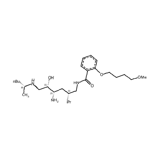 CCCC[C@@H](C)NC[C@H](O)[C@@H](N)C[C@H](CNC(=O)c1ccccc1OCCCCOC)C(C)C